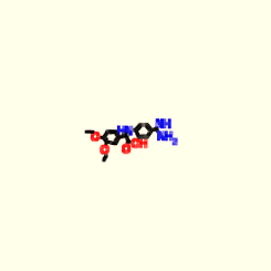 CCOc1ccc([C@H](Nc2ccc(C(=N)N)cc2)C(=O)O)cc1OCC